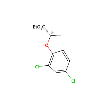 CCOC(=O)[C@H](C)Oc1ccc(Cl)cc1Cl